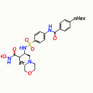 CCCCCCc1ccc(C(=O)Nc2ccc(S(=O)(=O)N[C@@H](CN3CCOCC3)C(C(=O)NO)C(C)C)cc2)cc1